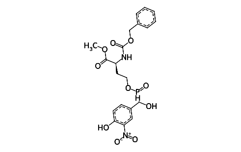 COC(=O)[C@H](CCO[PH](=O)C(O)c1ccc(O)c([N+](=O)[O-])c1)NC(=O)OCc1ccccc1